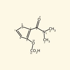 CN(C)C(=O)c1sccc1OC(=O)O